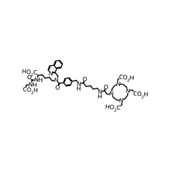 O=C(O)CNC(=O)N[C@H](CCCCN(Cc1nccc2ccccc12)C(=O)c1ccc(CNC(=O)CCCCNC(=O)CN2CCN(CC(=O)O)CCN(CC(=O)O)CCN(CC(=O)O)CC2)cc1)C(=O)O